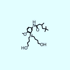 COc1ccc(NC(=O)CC(C)CC(C)(C)C)cc1N(CCCCO)CCCCO